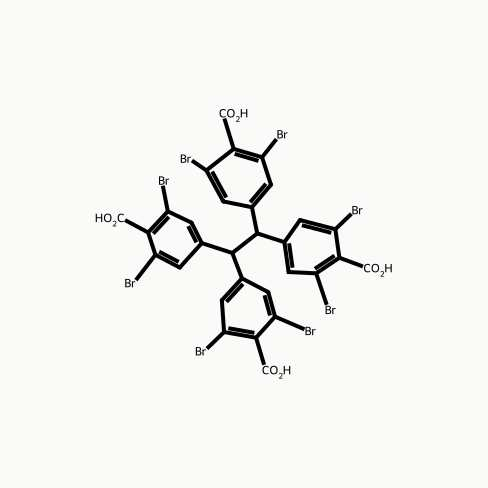 O=C(O)c1c(Br)cc(C(c2cc(Br)c(C(=O)O)c(Br)c2)C(c2cc(Br)c(C(=O)O)c(Br)c2)c2cc(Br)c(C(=O)O)c(Br)c2)cc1Br